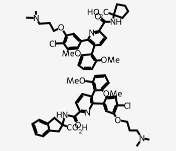 COc1cccc(OC)c1-c1ccc(C(=O)NC2(C(=O)O)CCCC2)nc1-c1ccc(Cl)c(OCCCN(C)C)c1.COc1cccc(OC)c1-c1ccc(C(=O)NC2(C(=O)O)Cc3ccccc3C2)nc1-c1ccc(Cl)c(OCCCN(C)C)c1